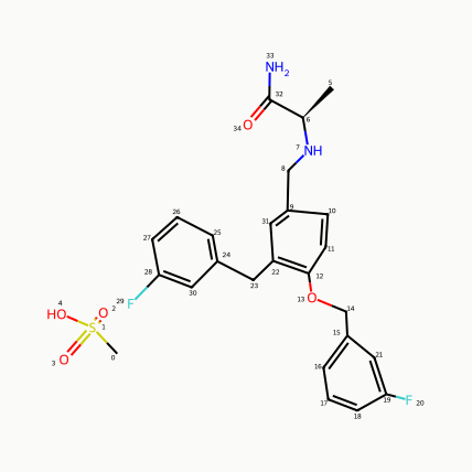 CS(=O)(=O)O.C[C@@H](NCc1ccc(OCc2cccc(F)c2)c(Cc2cccc(F)c2)c1)C(N)=O